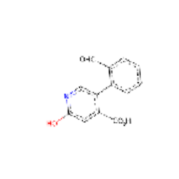 O=Cc1ccccc1-c1cnc(O)cc1C(=O)O